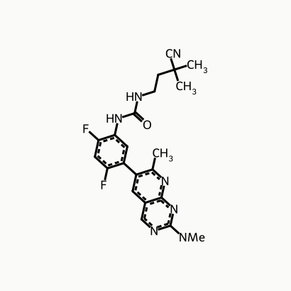 CNc1ncc2cc(-c3cc(NC(=O)NCCC(C)(C)C#N)c(F)cc3F)c(C)nc2n1